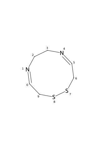 C1=NCCN=CCSSC1